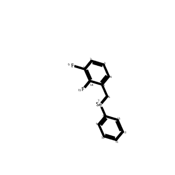 Fc1cccc(C[Se]c2ccccc2)c1F